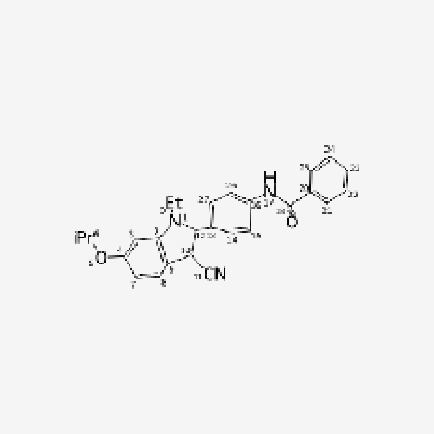 CCN1c2cc(OC(C)C)ccc2C(C#N)C1c1ccc(NC(=O)c2ccccc2)cc1